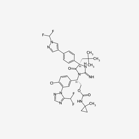 CC(C)(C)C[C@]1(c2ccc(-c3cnn(C(F)F)c3)cc2)NC(=N)N([C@H](COC(=O)NC2(C)CC2)c2ccc(Cl)c(-n3ncnc3C(F)F)c2)C1=O